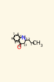 CCCC1=Nc2ccccc2C(=O)C1